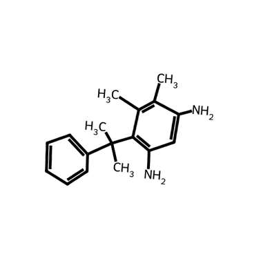 Cc1c(N)cc(N)c(C(C)(C)c2ccccc2)c1C